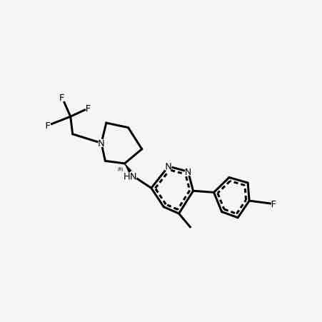 Cc1cc(N[C@@H]2CCCN(CC(F)(F)F)C2)nnc1-c1ccc(F)cc1